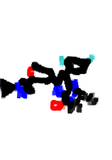 Cc1nc2c(-c3ccc(F)cc3F)cc(C3CCOC(c4cnn(C5CC5)c4)C3)nc2c(=O)n1C